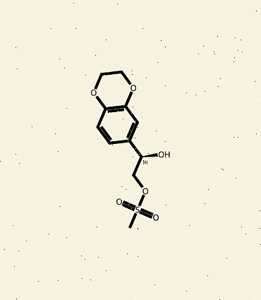 CS(=O)(=O)OC[C@H](O)c1ccc2c(c1)OCCO2